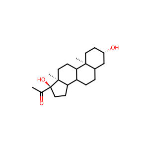 CC(=O)[C@@]1(O)CCC2C3CCC4C[C@@H](O)CC[C@]4(C)C3CC[C@@]21C